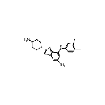 Cc1ccc(Nc2cc(N)nn3cc([C@H]4CC[C@H](N)CC4)nc23)cc1C